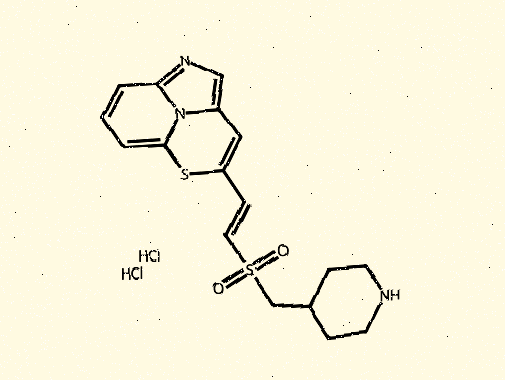 Cl.Cl.O=S(=O)(C=CC1=Cc2cnc3cccc(n23)S1)CC1CCNCC1